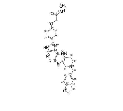 CNC(=O)COc1ccc(-c2nc3c(NC4CCN(Cc5ccc6c(c5)CCO6)CC4)c(Br)cnc3[nH]2)cc1